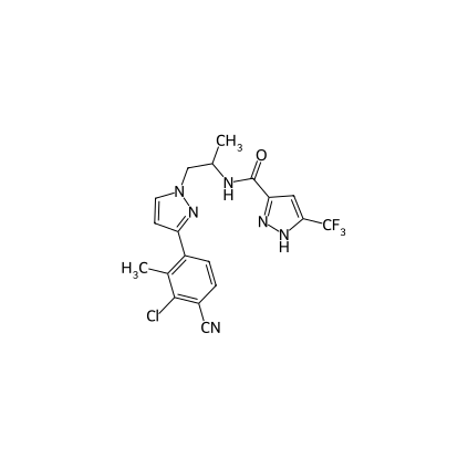 Cc1c(-c2ccn(CC(C)NC(=O)c3cc(C(F)(F)F)[nH]n3)n2)ccc(C#N)c1Cl